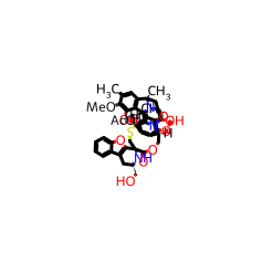 COc1c(C)cc2c(c1O)[C@H]1[C@@H]3[C@@H]4SC[C@]5(N[C@H](CO)Cc6c5oc5ccccc65)C(=O)OC[C@@H](c5c6c(c(C)c(OC(C)=O)c54)OCO6)N3C3(O)CN1[C@]2(C)C3